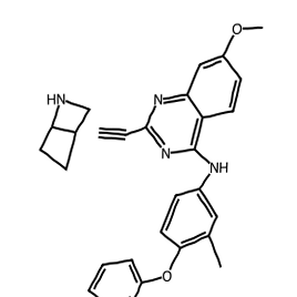 C#Cc1nc(Nc2ccc(Oc3ccccc3)c(C)c2)c2ccc(OC)cc2n1.C1CC2NCC12